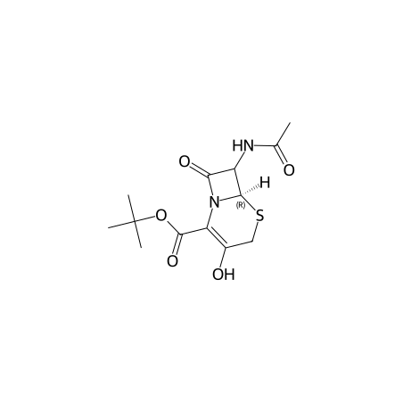 CC(=O)NC1C(=O)N2C(C(=O)OC(C)(C)C)=C(O)CS[C@H]12